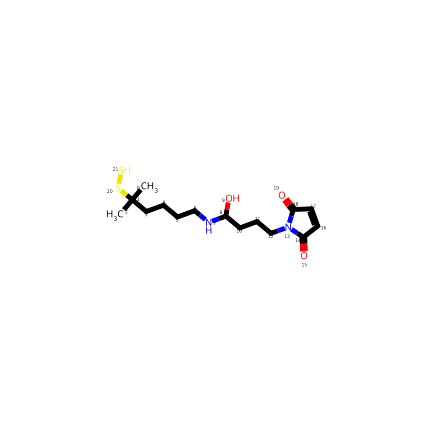 CC(C)(CCCCNC(O)CCCN1C(=O)C=CC1=O)SS